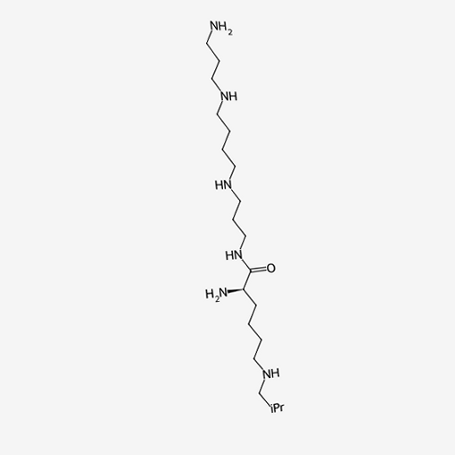 CC(C)CNCCCC[C@@H](N)C(=O)NCCCNCCCCNCCCN